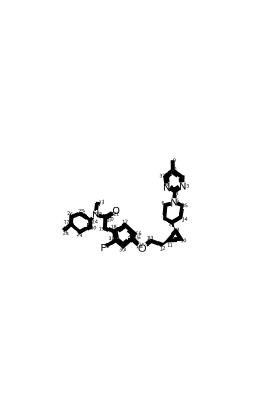 Cc1cnc(N2CCC([C@H]3C[C@H]3CCOc3ccc(CC(=O)N(C)C4CCC(C)CC4)c(F)c3)CC2)nc1